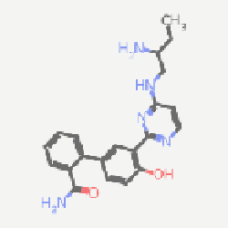 CCC(N)CNc1ccnc(-c2cc(-c3ccccc3C(N)=O)ccc2O)n1